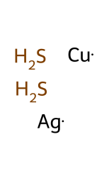 S.S.[Ag].[Cu]